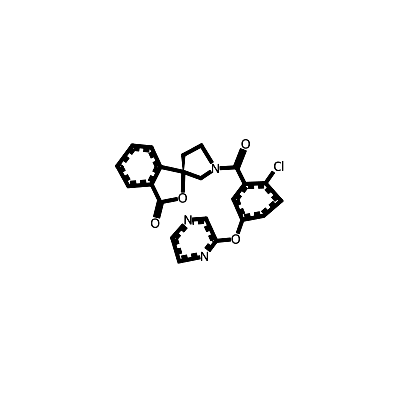 O=C1O[C@]2(CCN(C(=O)c3cc(Oc4cnccn4)ccc3Cl)C2)c2ccccc21